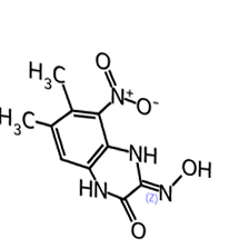 Cc1cc2[nH]c(=O)/c(=N/O)[nH]c2c([N+](=O)[O-])c1C